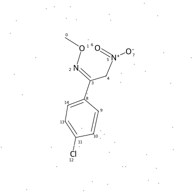 CON=C(C[N+](=O)[O-])c1ccc(Cl)cc1